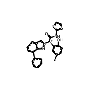 O=C(Nc1nccs1)[C@@H](c1cc(F)ccc1O)n1cc2cccc(-c3ccccc3)c2n1